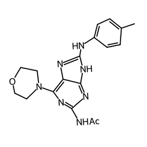 CC(=O)Nc1nc(N2CCOCC2)c2nc(Nc3ccc(C)cc3)[nH]c2n1